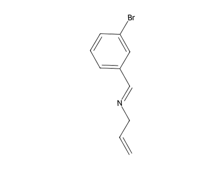 C=CC/N=C/c1cccc(Br)c1